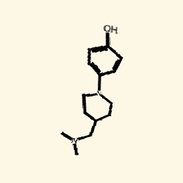 CN(C)CC1CCN(c2ccc(O)cc2)CC1